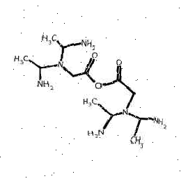 CC(N)N(CC(=O)OC(=O)CN(C(C)N)C(C)N)C(C)N